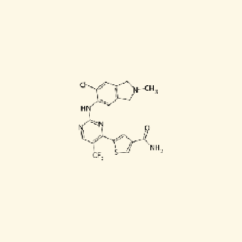 CN1Cc2cc(Cl)c(Nc3ncc(C(F)(F)F)c(-c4cc(C(N)=O)cs4)n3)cc2C1